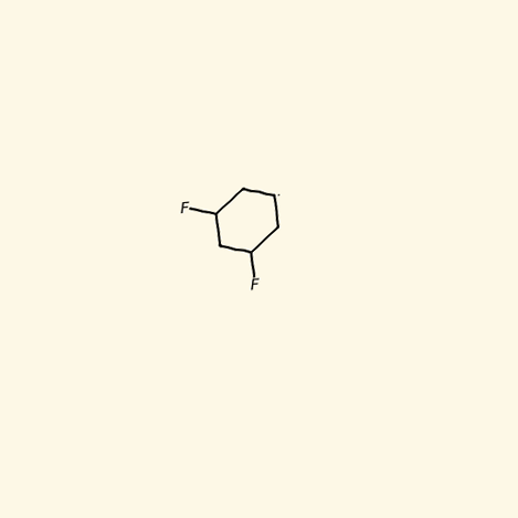 FC1C[CH]CC(F)C1